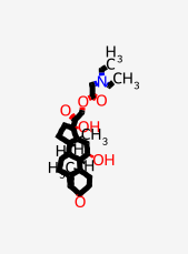 CCN(CC)CC(=O)OCC(=O)[C@@]1(O)CC[C@H]2[C@@H]3CCC4=CC(=O)CC[C@]4(C)[C@H]3[C@H](O)C[C@@]21C